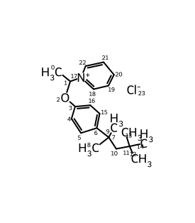 CC(Oc1ccc(C(C)(C)CC(C)(C)C)cc1)[n+]1ccccc1.[Cl-]